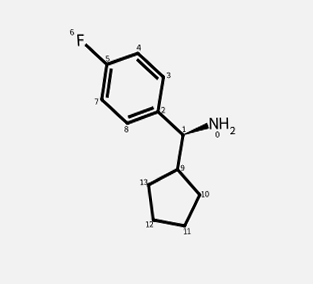 N[C@H](c1ccc(F)cc1)C1CCCC1